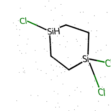 Cl[SiH]1CC[Si](Cl)(Cl)CC1